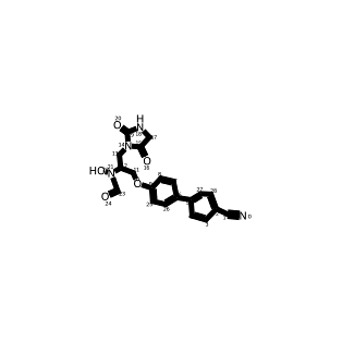 N#Cc1ccc(-c2ccc(OCC(CN3C(=O)CNC3=O)N(O)C=O)cc2)cc1